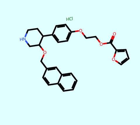 Cl.O=C(OCCOc1ccc(C2CCNCC2OCc2ccc3ccccc3c2)cc1)c1ccco1